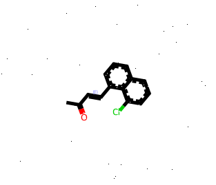 CC(=O)/C=C/c1cccc2cccc(Cl)c12